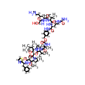 CC[C@H](C)[C@@H]([C@@H](CC(=O)N1CCC[C@H]1[C@H](OC)[C@@H](C)C(=O)N[C@@H](Cc1ccccc1)c1nccs1)OC)N(C)C(=O)[C@@H](NC(=O)C(C)(C)NC(=O)OCc1ccc(NC(=O)[C@H](CCCNC(N)=O)NC(=O)[C@@H](NC(=O)[C@H](CCCCN)NC(=O)CO)C(C)C)cc1)C(C)C